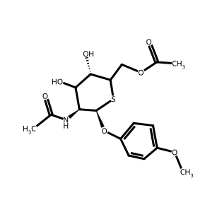 COc1ccc(O[C@@H]2SC(COC(C)=O)[C@@H](O)C(O)[C@@H]2NC(C)=O)cc1